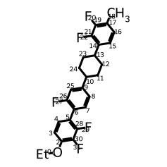 CCOc1ccc(-c2ccc(C3CCC(c4ccc(C)c(F)c4F)CC3)cc2F)c(F)c1F